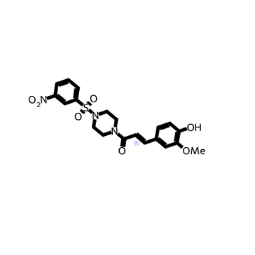 COc1cc(/C=C/C(=O)N2CCN(S(=O)(=O)c3cccc([N+](=O)[O-])c3)CC2)ccc1O